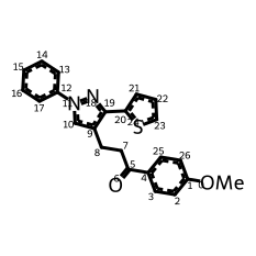 COc1ccc(C(=O)CCc2cn(-c3ccccc3)nc2-c2cccs2)cc1